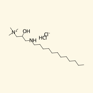 CCCCCCCCCCCCNCC(O)C[N+](C)(C)C.Cl.[Cl-]